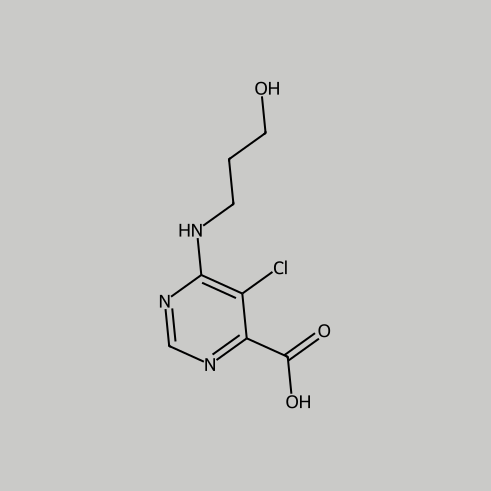 O=C(O)c1ncnc(NCCCO)c1Cl